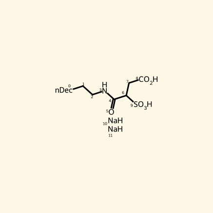 CCCCCCCCCCCCNC(=O)C(CC(=O)O)S(=O)(=O)O.[NaH].[NaH]